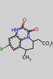 CC1CC(CC(=O)O)n2c(=O)c(=O)[nH]c3cc(Br)cc1c32